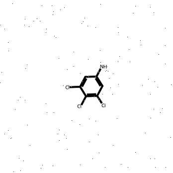 [NH]c1cc(Cl)c(Cl)c(Cl)c1